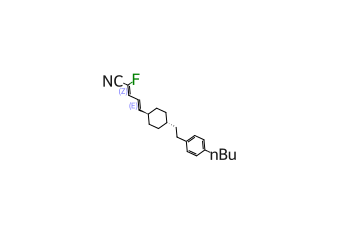 CCCCc1ccc(CC[C@H]2CC[C@H](/C=C/C=C(\F)C#N)CC2)cc1